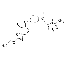 CCOc1nc2ccc(O[C@H]3CC[C@](C)(OC[C@H](C)NC(C)=O)CC3)c(F)c2s1